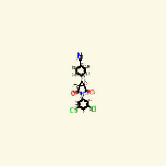 C[C@]12C(=O)N(c3cc(Cl)cc(Cl)c3)C(=O)C1[C@H]2c1ccc(C#N)cc1